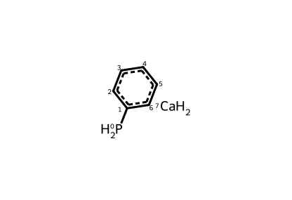 Pc1ccccc1.[CaH2]